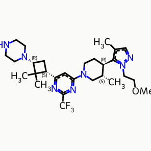 COCCn1ncc(C)c1[C@@H]1CCN(c2cc([C@H]3C[C@@H](N4CCNCC4)C3(C)C)nc(C(F)(F)F)n2)C[C@H]1C